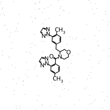 Cc1ccc(C(=O)N2CCOCC2Cc2ccc(C)c(-n3nccn3)c2)c(-n2nccn2)c1